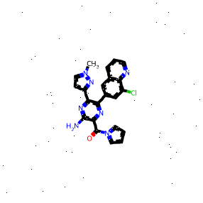 Cn1ccc(-c2nc(N)c(C(=O)n3cccc3)nc2-c2cc(Cl)c3ncccc3c2)n1